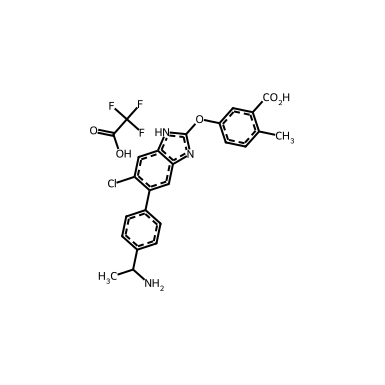 Cc1ccc(Oc2nc3cc(-c4ccc(C(C)N)cc4)c(Cl)cc3[nH]2)cc1C(=O)O.O=C(O)C(F)(F)F